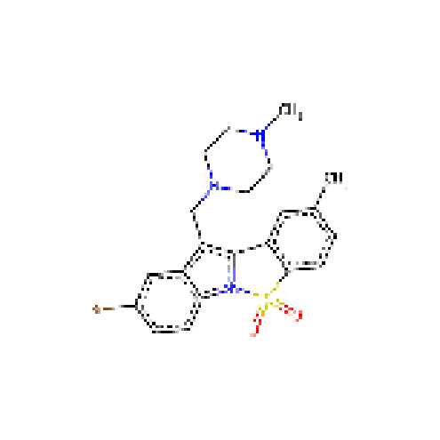 Cc1ccc2c(c1)-c1c(CN3CCN(C)CC3)c3cc(Br)ccc3n1S2(=O)=O